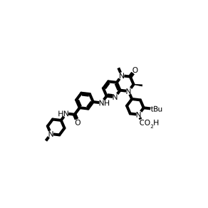 C[C@@H]1C(=O)N(C)c2ccc(Nc3cccc(C(=O)NC4CCN(C)CC4)c3)nc2N1C1CCN(C(=O)O)C(C(C)(C)C)C1